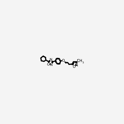 Cc1cc(CCCOc2ccc(-c3noc(C4CCCCC4)n3)cc2)on1